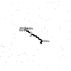 C=CC(CCCCCC)CCCCC/C=C/C(=O)OCCC[Si](OC)(OC)OC